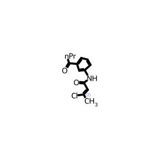 CCCC(=O)c1cccc(NC(=O)/C=C(/C)Cl)c1